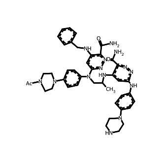 CC(=O)N1CCN(c2ccc(N(CC(C)Nc3cc(Nc4ccc(N5CCNCC5)cc4)nnc3C(N)=O)c3cc(NCc4ccccc4)c(C(N)=O)nn3)cc2)CC1